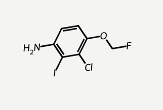 Nc1ccc(OCF)c(Cl)c1I